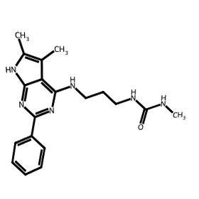 CNC(=O)NCCCNc1nc(-c2ccccc2)nc2[nH]c(C)c(C)c12